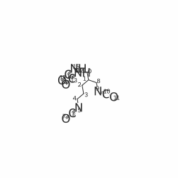 CC(CCCN=C=O)CN=C=O.N=C=O.N=C=O